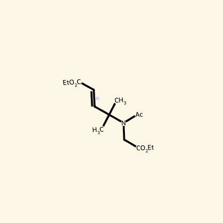 CCOC(=O)/C=C/C(C)(C)N(CC(=O)OCC)C(C)=O